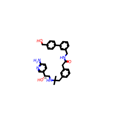 CC(C)(Cc1cccc(CC(=O)NCc2cccc(-c3ccc(CO)cc3)c2)c1)NC[C@H](O)c1ccc(N)nc1